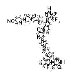 N#Cc1ccc(N2CCN(C(=O)C[C@H]3CC[C@@H]([C@@H]4c5cc(-c6cc(N7CCN(C(=O)C[C@H]8CC[C@@H]([C@H]9c%10ccccc%10CN9c9cn[nH]c(=O)c9C(F)(F)F)O8)CC7)ncc6C#N)ccc5CN4c4cn[nH]c(=O)c4C(F)(F)F)O3)CC2)nc1